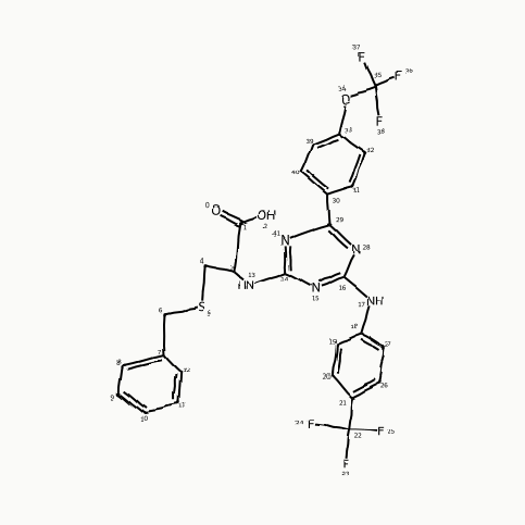 O=C(O)C(CSCc1ccccc1)Nc1nc(Nc2ccc(C(F)(F)F)cc2)nc(-c2ccc(OC(F)(F)F)cc2)n1